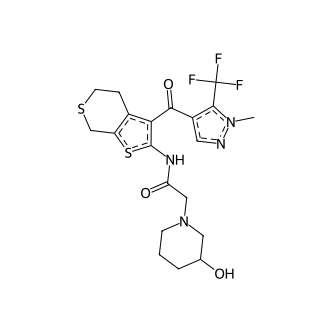 Cn1ncc(C(=O)c2c(NC(=O)CN3CCCC(O)C3)sc3c2CCSC3)c1C(F)(F)F